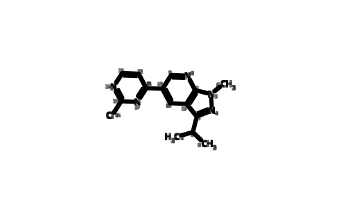 CC(C)c1nn(C)c2ncc(-c3ccnc(Cl)n3)cc12